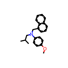 COc1ccc(N(Cc2cccc3ccccc23)CC(C)C)cc1